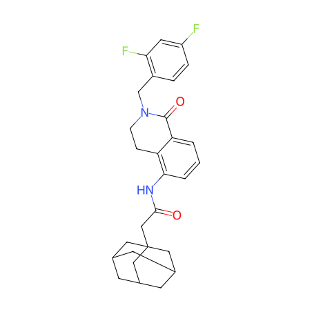 O=C(CC12CC3CC(CC(C3)C1)C2)Nc1cccc2c1CCN(Cc1ccc(F)cc1F)C2=O